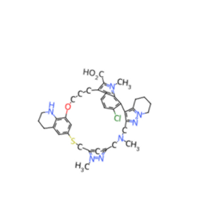 CN1Cc2cc(n(C)n2)CSc2cc3c(c(c2)OCCCc2c(C(=O)O)n(C)c4c(c(Cl)ccc24)-c2c(nn4c2CCCC4)C1)NCCC3